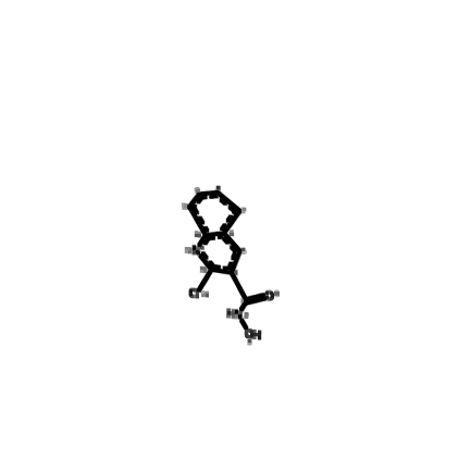 O=C(NO)c1cc2ccccc2nc1Cl